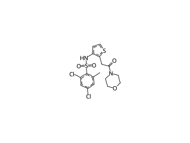 Cc1cc(Cl)cc(Cl)c1S(=O)(=O)Nc1ccsc1CC(=O)N1CCOCC1